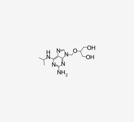 CC(C)Nc1nc(N)nc2c1ncn2COC(CO)CO